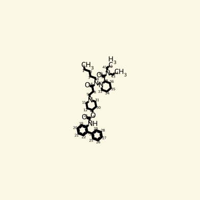 CCCCCN(C(=O)CCN1CCC(OC(=O)Nc2ccccc2-c2ccccc2)CC1)N1CCCC[C@@H]1C(=O)N(CC)CC